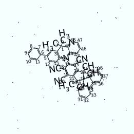 CC1(C)c2cc(-c3ccccc3)ccc2N(c2c(C#N)c(C#N)c3c(c2C#N)C(C)(C)C2(c4ccccc4-c4ccccc42)C3(C)C)c2cccnc21